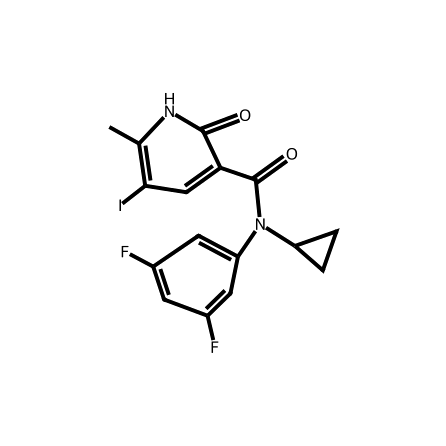 Cc1[nH]c(=O)c(C(=O)N(c2cc(F)cc(F)c2)C2CC2)cc1I